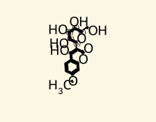 COc1ccc2c(O)c([C@@H]3O[C@H](CO)[C@@H](O)[C@H](O)[C@H]3O)c(=O)oc2c1